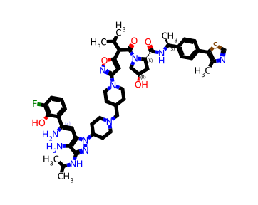 Cc1ncsc1-c1ccc([C@H](C)NC(=O)[C@@H]2C[C@@H](O)CN2C(=O)C(c2cc(N3CCC(CN4CCC(n5nc(NC(C)C)c(N)c5/C=C(\N)c5cccc(F)c5O)CC4)CC3)no2)C(C)C)cc1